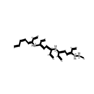 C=C/C=C\C=C(\B/C(C=C)=C/C=C(/B/C(C=C)=C/C=C(/BBC)C=C)C=C)C=C